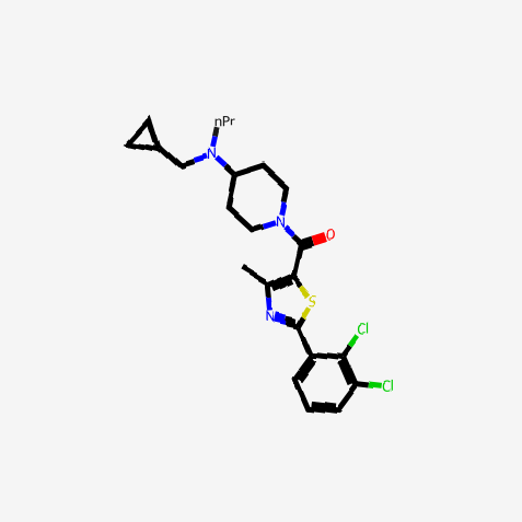 CCCN(CC1CC1)C1CCN(C(=O)c2sc(-c3cccc(Cl)c3Cl)nc2C)CC1